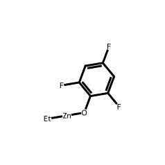 [CH2][CH2][Zn][O]c1c(F)cc(F)cc1F